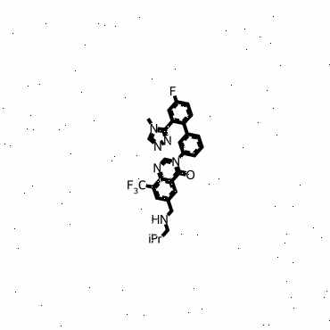 CC(C)CNCc1cc(C(F)(F)F)c2ncn(-c3cccc(-c4ccc(F)cc4-c4nncn4C)c3)c(=O)c2c1